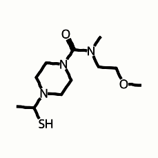 COCCN(C)C(=O)N1CCN(C(C)S)CC1